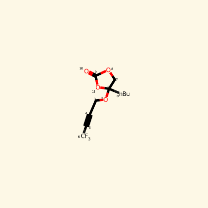 CCCCC1(OCC#CC(F)(F)F)COC(=O)O1